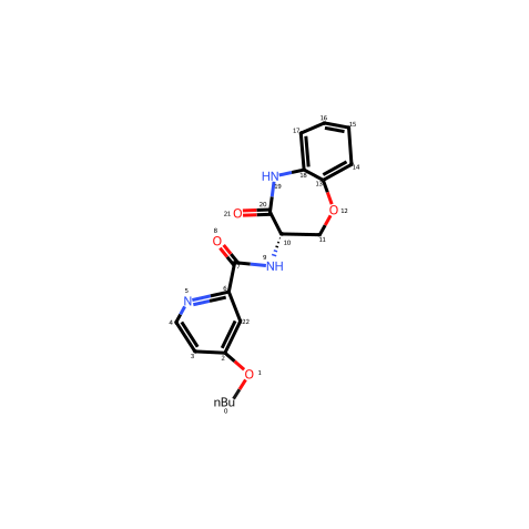 CCCCOc1ccnc(C(=O)N[C@H]2COc3ccccc3NC2=O)c1